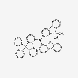 CC1(C)c2ccccc2-c2ccc(N(c3cccc4c3-c3ccccc3C4(c3ccccc3)c3ccccc3)c3cccc4c3oc3ccccc34)cc21